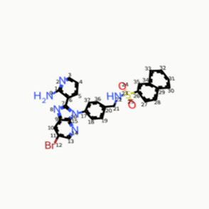 Nc1ncccc1-c1nc2cc(Br)cnc2n1-c1ccc(CNS(=O)(=O)c2ccc3ccccc3c2)cc1